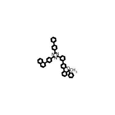 CC1(c2ccccc2)Oc2cc(-c3cccc(-c4nc(-c5ccc(-c6ccccc6)cc5)nc(-c5ccc(-c6cccc7ccccc67)cc5)n4)c3)ccc2-c2ccccc21